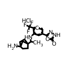 CC(Nc1cc(-c2n[nH]c(=O)o2)ccc1C(F)(F)F)C12CCC(N)(CC1)C2.Cl